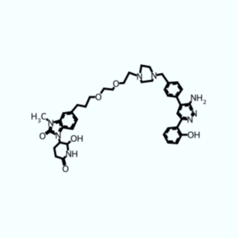 Cn1c(=O)n(C2CCC(=O)NC2O)c2ccc(CCCOCCOCCN3CCN(Cc4ccc(-c5cc(-c6ccccc6O)nnc5N)cc4)CC3)cc21